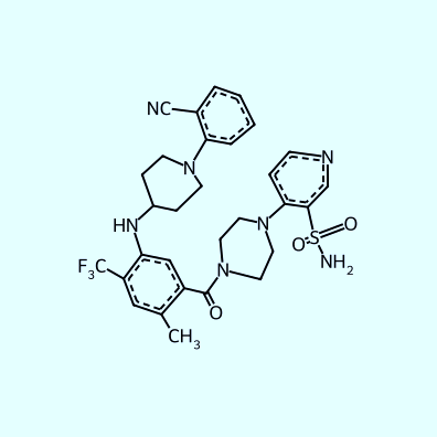 Cc1cc(C(F)(F)F)c(NC2CCN(c3ccccc3C#N)CC2)cc1C(=O)N1CCN(c2ccncc2S(N)(=O)=O)CC1